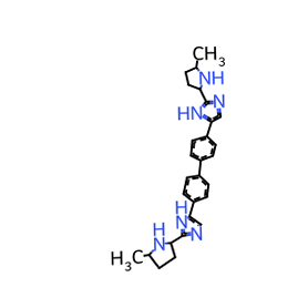 CC1CCC(c2ncc(-c3ccc(-c4ccc(-c5cnc(C6CCC(C)N6)[nH]5)cc4)cc3)[nH]2)N1